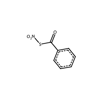 O=C(S[N+](=O)[O-])c1ccccc1